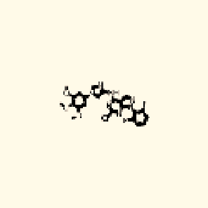 COc1cc(-n2cnc(Nc3nc(Cl)nc4c3cnn4-c3c(F)cccc3F)c2)cc(OC)c1OC